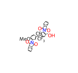 COc1ccc(C(c2ccc(CO)c(N3C(=O)C4C5C=CC(C5)C4C3=O)c2)(C(F)(F)F)C(F)(F)F)cc1N1C(=O)C2C3C=CC(C3)C2C1=O